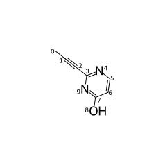 CC#Cc1nccc(O)n1